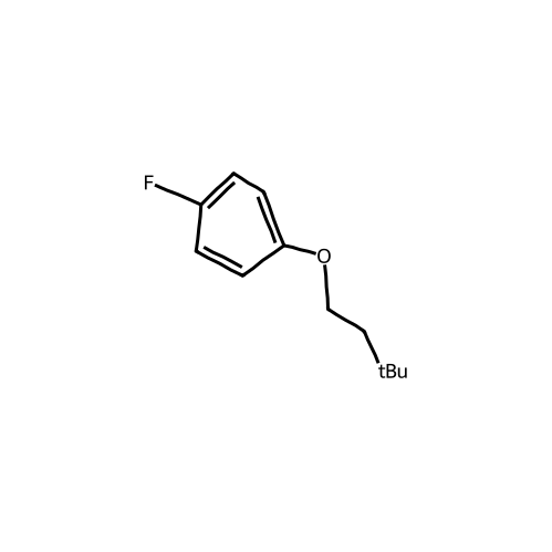 CC(C)(C)CCOc1ccc(F)cc1